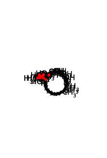 C[C@@H]1[C@H](O)[C@@H](C)/C=C/C=C/C=C/C=C/C=C/C=C/C=C/[C@H](O[C@@H]2O[C@H](C)[C@@H](O)[C@H](N)C2O)C[C@@H]2O[C@](O)(C[C@@H](O)C[C@@H](O)[C@H](O)CC[C@@H](O)C[C@@H](O)CC(=O)O[C@H]1C)C[C@H](O)[C@H]2NC(=O)N1CCN(C)CC1